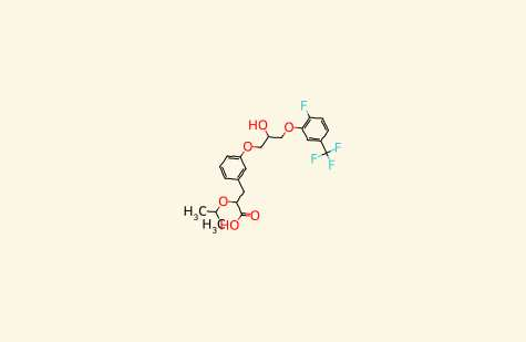 CC(C)OC(Cc1cccc(OCC(O)COc2cc(C(F)(F)F)ccc2F)c1)C(=O)O